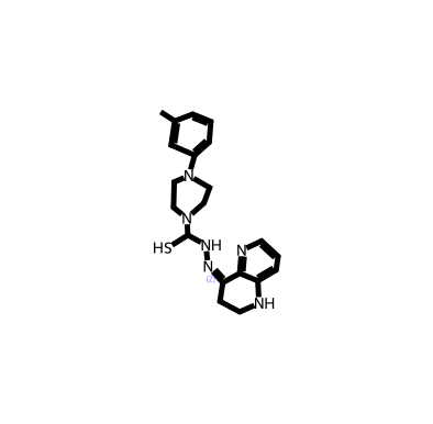 Cc1cccc(N2CCN(C(S)N/N=C3/CCNc4cccnc43)CC2)c1